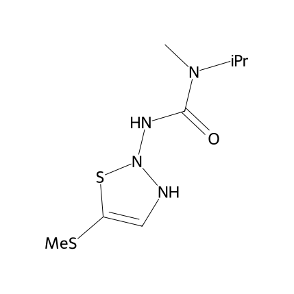 CSC1=CNN(NC(=O)N(C)C(C)C)S1